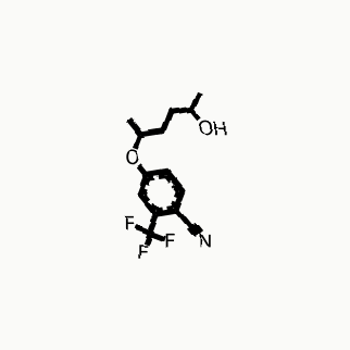 CC(O)CCC(C)Oc1ccc(C#N)c(C(F)(F)F)c1